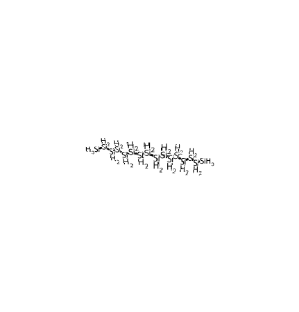 [SiH3][SiH2][SiH2][SiH2][SiH2][SiH2][SiH2][SiH2][SiH2][SiH2][SiH2][SiH2][SiH2][SiH2][SiH2][SiH3]